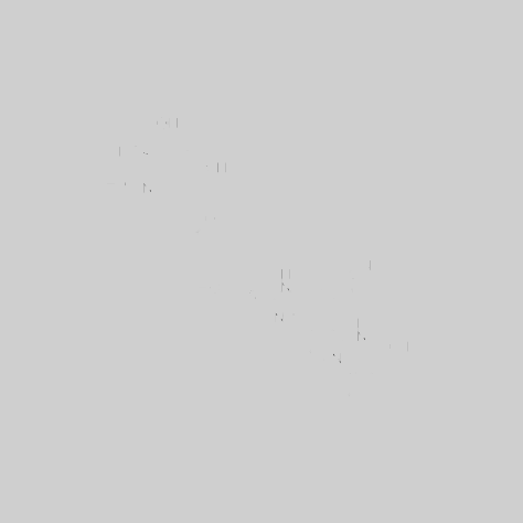 CC(Nc1cc(-c2nc(SCC(O)COC(=O)CCCN(C)C3C[C@@H](C)O[C@@H](O)[C@@H]3O)[nH]c2-c2ccc(F)cc2)ccn1)c1ccccc1